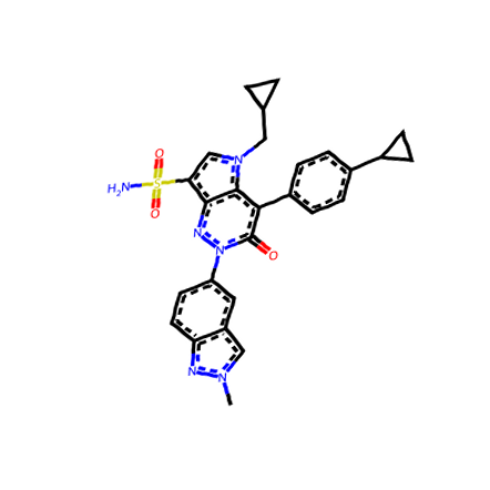 Cn1cc2cc(-n3nc4c(S(N)(=O)=O)cn(CC5CC5)c4c(-c4ccc(C5CC5)cc4)c3=O)ccc2n1